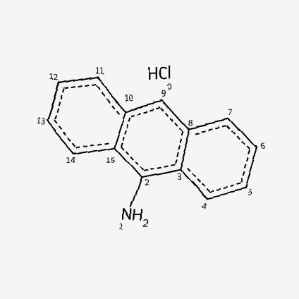 Cl.Nc1c2ccccc2cc2ccccc12